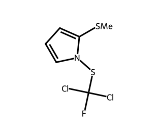 CSc1cccn1SC(F)(Cl)Cl